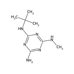 CNc1nc(N)nc(NC(C)(C)C)n1